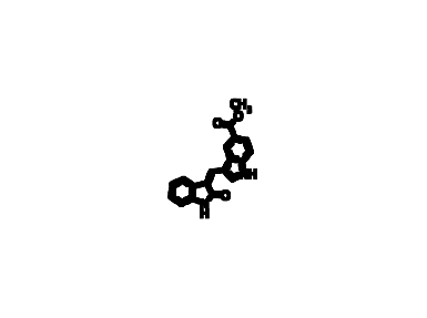 COC(=O)c1ccc2[nH]cc(C=C3C(=O)Nc4ccccc43)c2c1